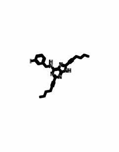 CCCCC#Cc1nc(NCc2cccc(I)c2)c2nc(C#CCCCC)[nH]c2n1